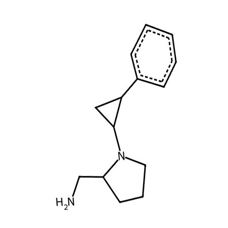 NCC1CCCN1C1CC1c1ccccc1